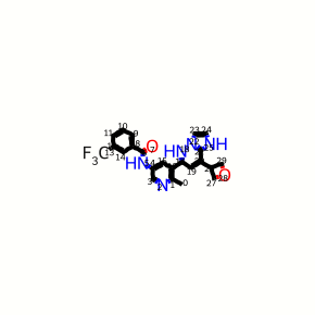 Cc1ncc(NC(=O)c2cccc(C(F)(F)F)c2)cc1C(=N)/C=C(\c1ncc[nH]1)C1COC1